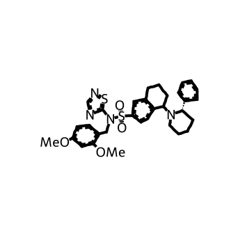 COc1ccc(CN(c2ncns2)S(=O)(=O)c2ccc3c(c2)CCCC3N2CCCC[C@H]2c2ccccc2)c(OC)c1